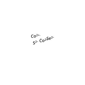 [Co+2].[Co+2].[S-2].[Se-2]